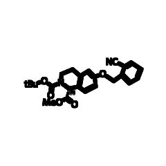 COC(=O)[C@H]1c2ccc(OCc3ccccc3C#N)cc2CCN1C(=O)OC(C)(C)C